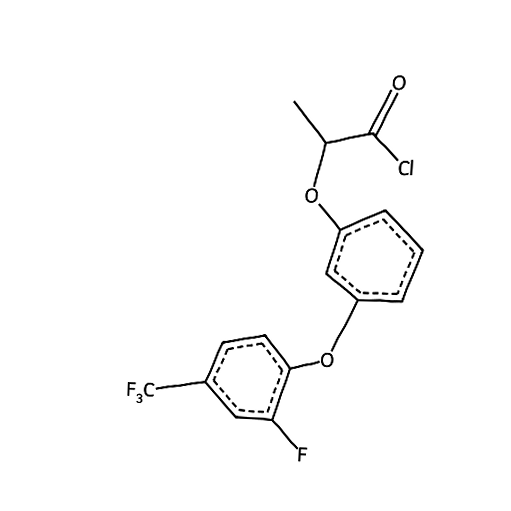 CC(Oc1cccc(Oc2ccc(C(F)(F)F)cc2F)c1)C(=O)Cl